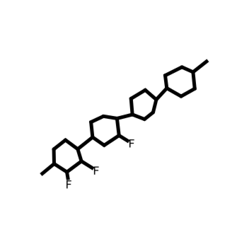 CC1CCC(C2CCC(C3CCC(C4CCC(C)C(F)C4F)CC3F)CC2)CC1